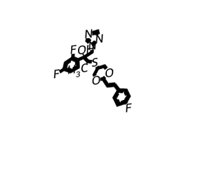 C[C@@H](SC1COC(C=Cc2ccc(F)cc2)OC1)[C@](O)(Cn1cncn1)c1ccc(F)cc1F